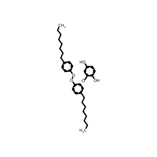 CCCCCCCCc1ccc(OOc2ccc(CCCCCCCC)cc2)cc1.Oc1ccc(O)c(Cl)c1